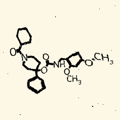 COc1ccc(CNC(=O)OC2(c3ccccc3)CCN(C(=O)C3CCCCC3)CC2)c(OC)c1